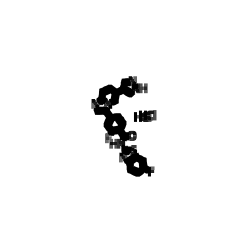 Cl.Cl.O=C(Nc1nc2ccc(F)cc2s1)c1ccc(-c2cnc3ccc(-c4cn[nH]c4)cn23)cc1F